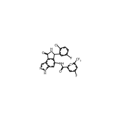 O=C(Nc1cc2[nH]ncc2c2c1C(c1cc(F)ccc1Cl)NC2=O)c1cc(F)cc(C(F)(F)F)c1